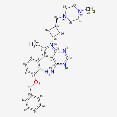 Cc1c(-c2cccc(OCc3ccccc3)c2)c2c(N)ncnc2n1[C@H]1C[C@H](CN2CCN(C)CC2)C1